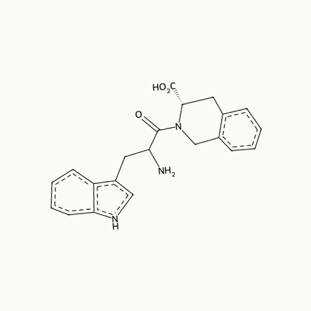 NC(Cc1c[nH]c2ccccc12)C(=O)N1Cc2ccccc2C[C@H]1C(=O)O